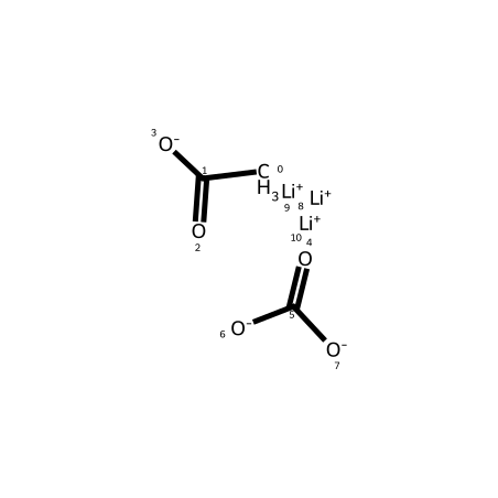 CC(=O)[O-].O=C([O-])[O-].[Li+].[Li+].[Li+]